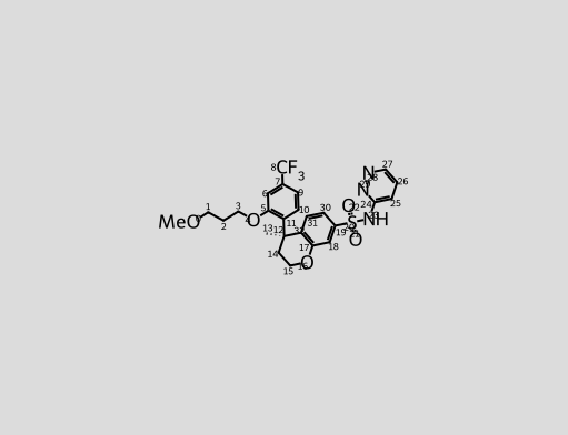 COCCCOc1cc(C(F)(F)F)ccc1[C@]1(C)CCOc2cc(S(=O)(=O)Nc3cccnn3)ccc21